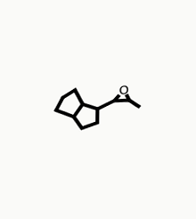 CC1OC1C1CCC2CCCC21